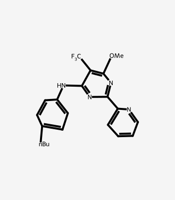 CCCCc1ccc(Nc2nc(-c3ccccn3)nc(OC)c2C(F)(F)F)cc1